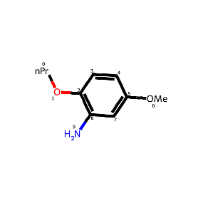 CCCOc1ccc(OC)cc1N